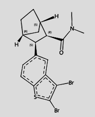 CN(C)C(=O)[C@@H]1[C@H]2CC[C@H](C2)[C@@H]1c1ccc2sc(Br)c(Br)c2c1